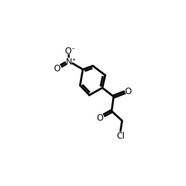 O=C(CCl)C(=O)c1ccc([N+](=O)[O-])cc1